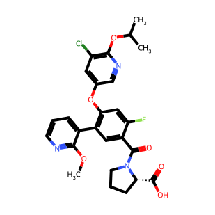 COc1ncccc1-c1cc(C(=O)N2CCC[C@H]2C(=O)O)c(F)cc1Oc1cnc(OC(C)C)c(Cl)c1